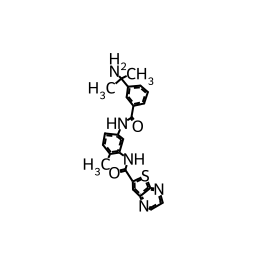 Cc1ccc(NC(=O)c2cccc(C(C)(C)N)c2)cc1NC(=O)c1cc2nccnc2s1